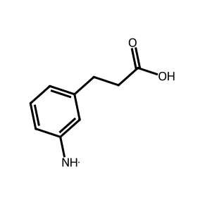 [NH]c1cccc(CCC(=O)O)c1